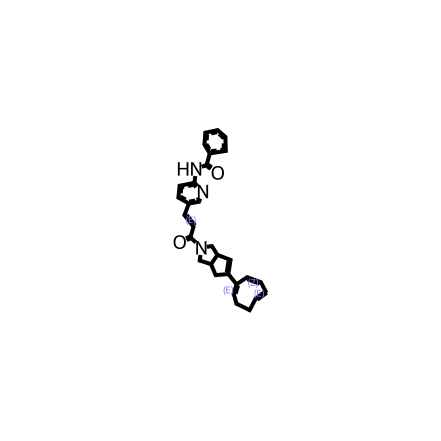 O=C(Nc1ccc(/C=C/C(=O)N2CC3C=C(C4=C/CC/C=C/C=C\4)CC3C2)cn1)c1ccccc1